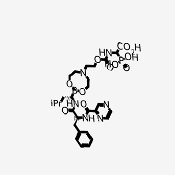 CC(C)C[C@@H](NC(=O)[C@H](Cc1ccccc1)NC(=O)c1cnccn1)B1OCCN(CCOC(=O)NC(C(=O)O)P(=O)(O)O)CCO1